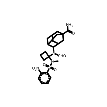 CN(C1(N(C=O)C2C3CC4CC2CC(C(N)=O)(C4)C3)CCC1)S(=O)(=O)c1ccccc1[N+](=O)[O-]